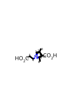 Cc1cn(CCC(=O)O)c(C)c1C(=O)O